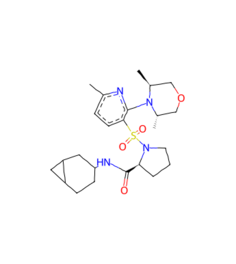 Cc1ccc(S(=O)(=O)N2CCC[C@H]2C(=O)NC2CCC3CC3C2)c(N2[C@@H](C)COC[C@@H]2C)n1